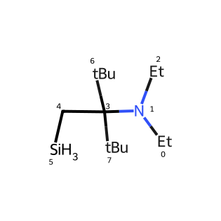 CCN(CC)C(C[SiH3])(C(C)(C)C)C(C)(C)C